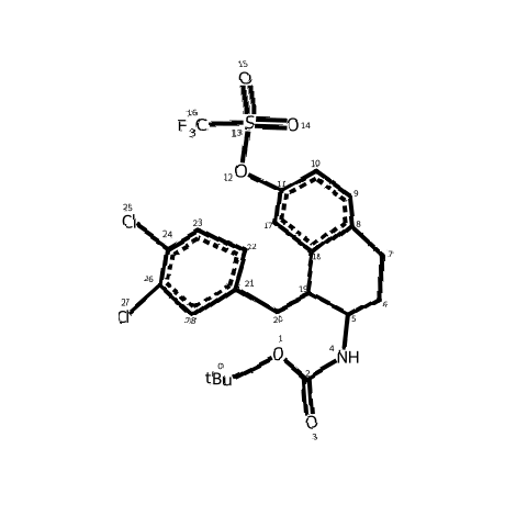 CC(C)(C)OC(=O)NC1CCc2ccc(OS(=O)(=O)C(F)(F)F)cc2C1Cc1ccc(Cl)c(Cl)c1